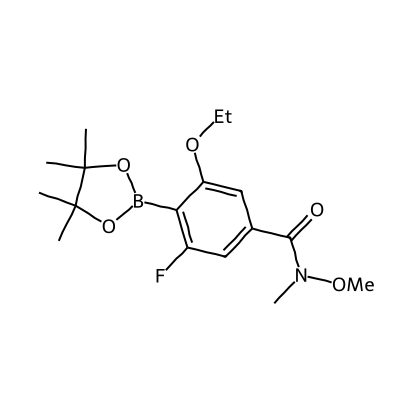 CCOc1cc(C(=O)N(C)OC)cc(F)c1B1OC(C)(C)C(C)(C)O1